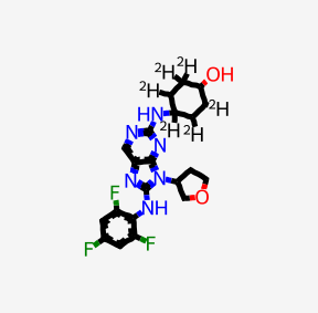 [2H]C1C(O)C([2H])([2H])C([2H])C([2H])(Nc2ncc3nc(Nc4c(F)cc(F)cc4F)n(C4CCOC4)c3n2)C1[2H]